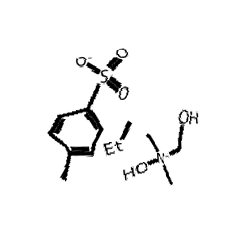 CCC.C[N+](C)(O)CO.Cc1ccc(S(=O)(=O)[O-])cc1